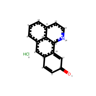 Cl.O=C1C=Cc2cc3cccc4ccnc(c2=C1)c43